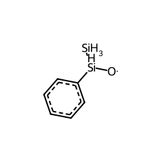 [O][SiH]([SiH3])c1ccccc1